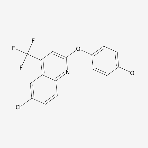 [O]c1ccc(Oc2cc(C(F)(F)F)c3cc(Cl)ccc3n2)cc1